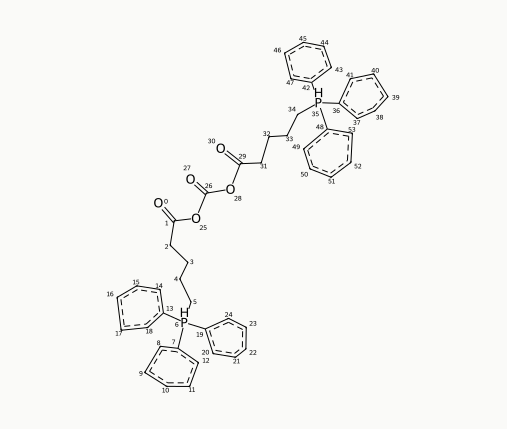 O=C(CCCC[PH](c1ccccc1)(c1ccccc1)c1ccccc1)OC(=O)OC(=O)CCCC[PH](c1ccccc1)(c1ccccc1)c1ccccc1